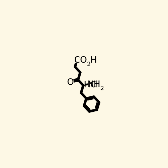 Cl.N[C@@H](Cc1ccccc1)C(=O)CCC(=O)O